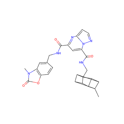 Cn1c(=O)oc2ccc(CNC(=O)c3cc(C(=O)NCC45C6C7C4C4C5C6C74C)n4nccc4n3)cc21